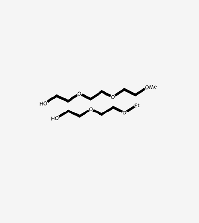 CCOCCOCCO.COCCOCCOCCO